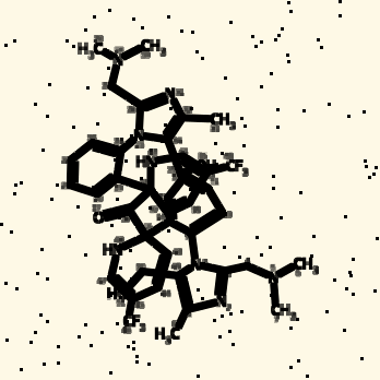 Cc1nc(CN(C)C)n(-c2ccccc2C2(C(=O)C3(c4ccccc4-n4c(CN(C)C)nc(C)c4CO)C=CC(C(F)(F)F)=CN3)C=CC(C(F)(F)F)=CN2)c1CO